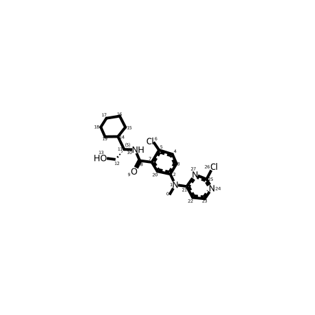 CN(c1ccc(Cl)c(C(=O)N[C@H](CO)C2CCCCC2)c1)c1ccnc(Cl)n1